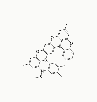 CSN1c2cc(C)c(C)cc2B2c3cc4c(cc3Oc3cc(C)cc1c32)Oc1cc(C)cc2c1B4c1ccccc1O2